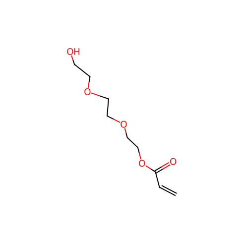 C=CC(=O)OCCOCCOCCO